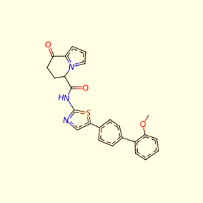 COc1ccccc1-c1ccc(-c2cnc(NC(=O)C3CCC(=O)c4cccn43)s2)cc1